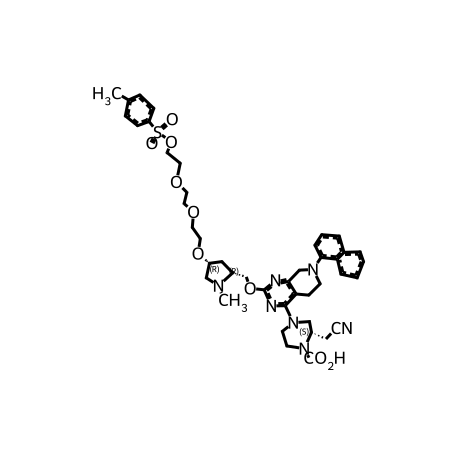 Cc1ccc(S(=O)(=O)OCCOCCOCCO[C@@H]2C[C@H](COc3nc4c(c(N5CCN(C(=O)O)[C@@H](CC#N)C5)n3)CCN(c3cccc5ccccc35)C4)N(C)C2)cc1